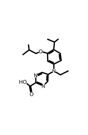 CCN(c1cnc(C(=O)O)nc1)c1ccc(C(C)C)c(OCC(C)C)c1